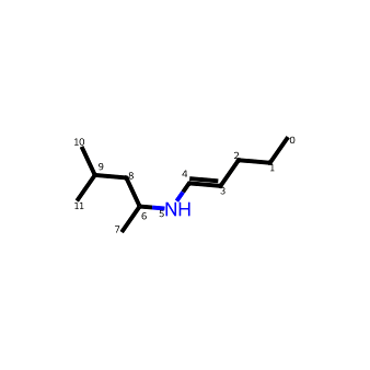 CCC/C=C/NC(C)CC(C)C